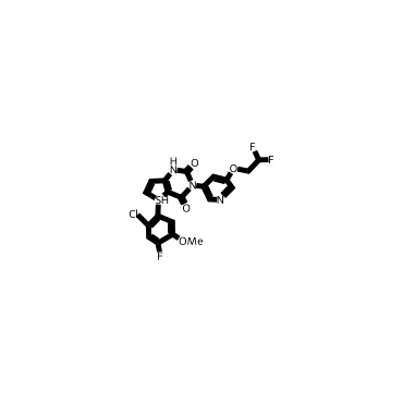 COc1cc([SH]2C=Cc3[nH]c(=O)n(-c4cncc(OCC(F)F)c4)c(=O)c32)c(Cl)cc1F